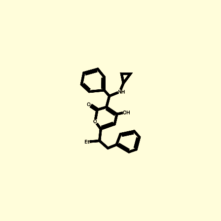 CCC(Cc1ccccc1)c1cc(O)c(C(NC2CC2)c2ccccc2)c(=O)o1